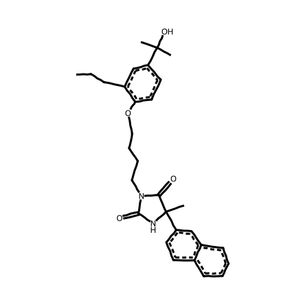 CCCc1cc(C(C)(C)O)ccc1OCCCCN1C(=O)NC(C)(c2ccc3ccccc3c2)C1=O